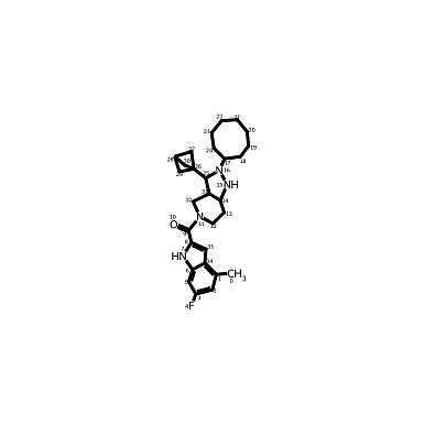 Cc1cc(F)cc2[nH]c(C(=O)N3CCC4NN(C5CCCCCCC5)C(C56CC(C5)C6)C4C3)cc12